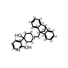 Oc1ncccc1C1(O)CCN(CC23CC(c4ccccc42)c2ccccc23)CC1